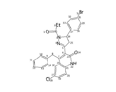 CCC(=O)N1N=C(c2c(Cc3ccccc3)c3cc(Cl)ccc3[nH]c2=O)CC1c1ccc(Br)cc1